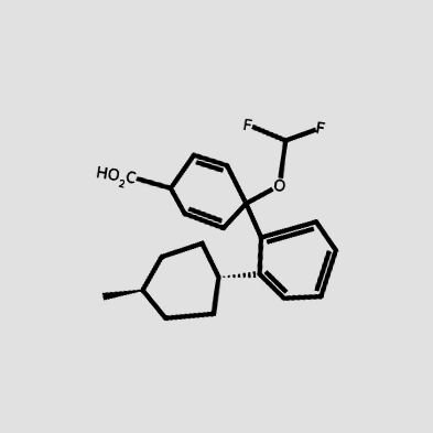 C[C@H]1CC[C@H](c2ccccc2C2(OC(F)F)C=CC(C(=O)O)C=C2)CC1